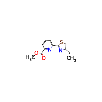 CCc1csc(-c2cccc(C(=O)OC)n2)n1